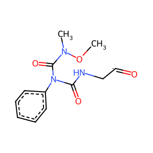 CON(C)C(=O)N(C(=O)NC[C]=O)c1ccccc1